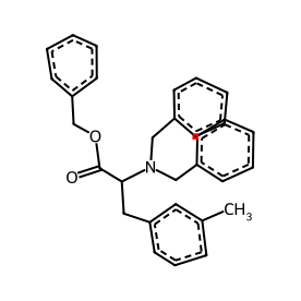 Cc1cccc(CC(C(=O)OCc2ccccc2)N(Cc2ccccc2)Cc2ccccc2)c1